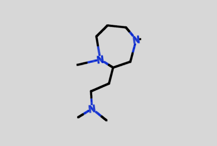 CN(C)CCC1C[N]CCCN1C